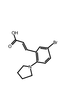 O=C(O)C=Cc1cc(Br)ccc1N1CCCC1